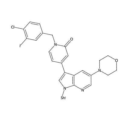 O=c1cc(-c2cn(S)c3ncc(N4CCOCC4)cc23)ccn1Cc1ccc(Cl)c(I)c1